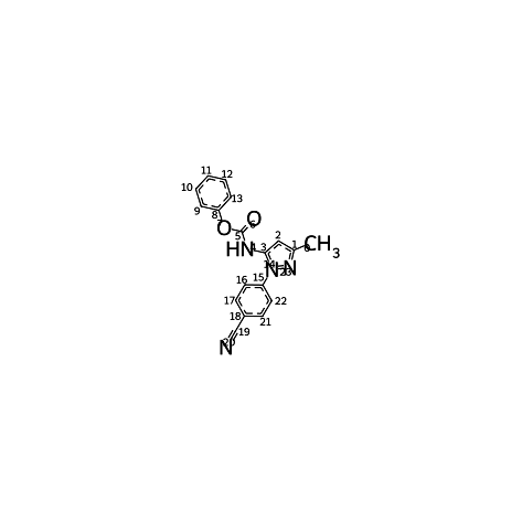 Cc1cc(NC(=O)Oc2ccccc2)n(-c2ccc(C#N)cc2)n1